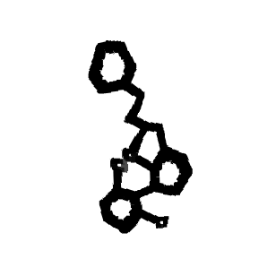 Clc1cccc(Cl)c1-c1cccc2c1OC(CCc1ccccc1)C2